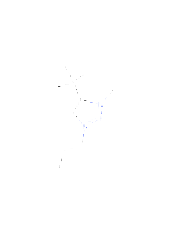 CCC[N+]1=NN(C)C(C(C)(C)C)C1